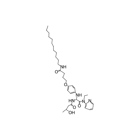 CCCCCCCCCCCCNC(=O)CCCOc1ccc(NC(NC(=O)CC(C)O)C(=O)N(CC)c2ccccn2)cc1